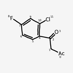 CC(=O)CC(=O)c1ccc(F)cc1Cl